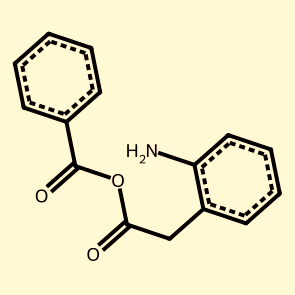 Nc1ccccc1CC(=O)OC(=O)c1ccccc1